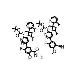 COc1cc(F)c(-c2ccc(N(CC3(c4ncccc4F)CC(F)C3)C(=O)OC(C)(C)C)nn2)cc1C#N.COc1cc(F)c(-c2ccc(N(CC3(c4ncccc4F)CC(F)C3)C(=O)OC(C)(C)C)nn2)cc1C(N)=O